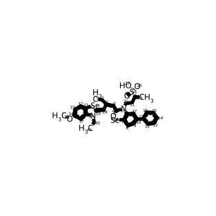 CCC(=CC1O[Se]c2ccc(-c3ccccc3)cc2N1CCC(C)S(=O)(=O)O)C=C1[Se]c2ccc(OC)cc2N1CC